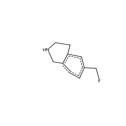 FCc1ccc2c(c1)CCNC2